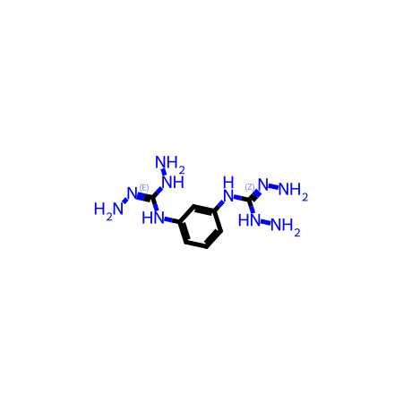 N/N=C(\NN)Nc1cccc(N/C(=N\N)NN)c1